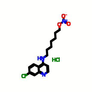 Cl.O=[N+]([O-])OCCCCCCCNc1ccnc2cc(Cl)ccc12